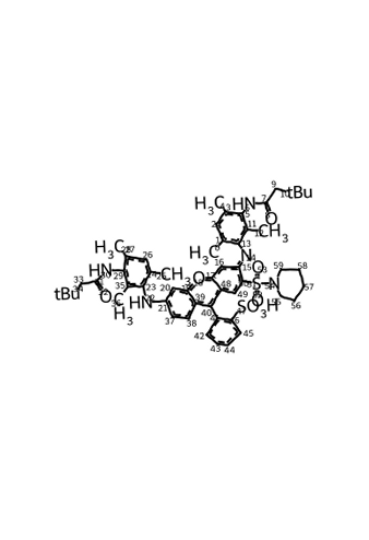 Cc1cc(C)c(NC(=O)CC(C)(C)C)c(C)c1/N=c1\cc2oc3cc(Nc4c(C)cc(C)c(NC(=O)CC(C)(C)C)c4C)ccc3c(-c3ccccc3S(=O)(=O)O)c-2cc1S(=O)(=O)N1CCCCC1